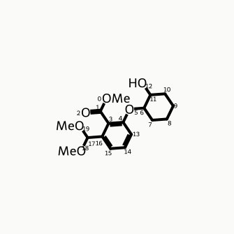 COC(=O)c1c(OC2CCCCC2O)cccc1C(OC)OC